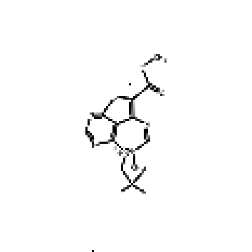 COC(=O)c1sc2ncnc(NCC(F)(F)F)c2c1/N=C\N(C)C